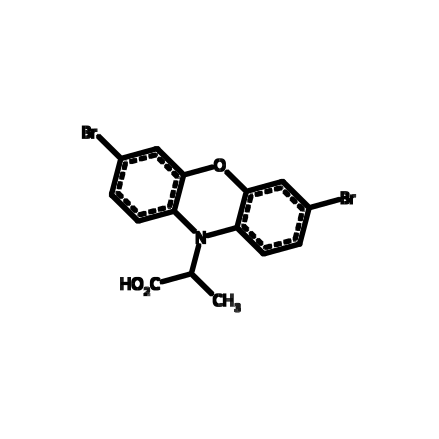 CC(C(=O)O)N1c2ccc(Br)cc2Oc2cc(Br)ccc21